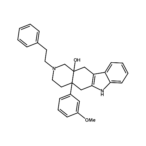 COc1cccc(C23CCN(CCc4ccccc4)CC2(O)Cc2c([nH]c4ccccc24)C3)c1